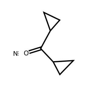 O=C(C1CC1)C1CC1.[N]